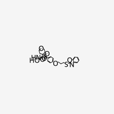 O=C(NO)C1(S(=O)(=O)c2ccc(OCCCSc3nc4ccccc4o3)cc2)CCOCC1